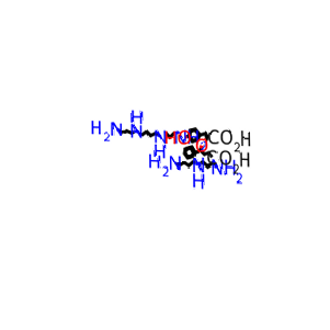 NCCCCNCCCN.NCCCNCCCCNCCCN.O=C(O)C=Cc1ccc(O)cc1.O=C(O)CCC(=O)c1ccccc1